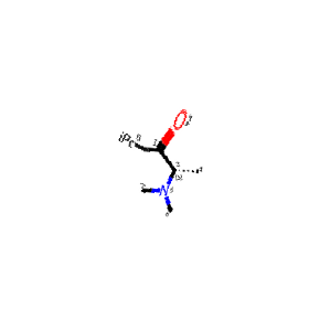 CC(C)C(=O)[C@H](C)N(C)C